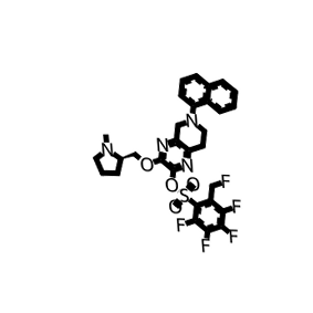 CN1CCC[C@@H]1COc1nc2c(nc1OS(=O)(=O)c1c(F)c(F)c(F)c(F)c1CF)CCN(c1cccc3ccccc13)C2